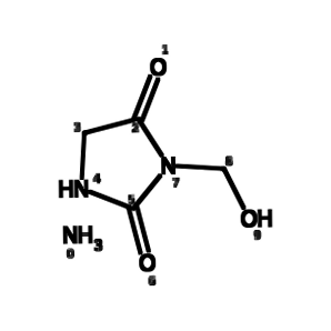 N.O=C1CNC(=O)N1CO